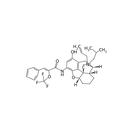 C=CC[N+]1(CC(C)C)CC[C@]23c4c5c(O)cc(NC(=O)C(=Cc6ccccc6)OC(F)(F)F)c4O[C@H]2CCC[C@H]3[C@H]1C5